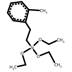 CCO[Si](CCc1ccccc1C)(OCC)OCC